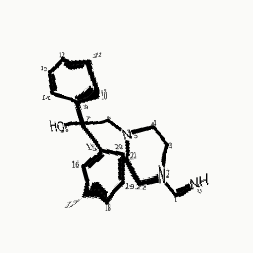 N=CN1CCN(CC(O)(c2ccccc2)c2ccccc2)CC1